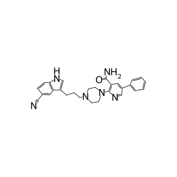 N#Cc1ccc2[nH]cc(CCCN3CCN(c4ncc(-c5ccccc5)cc4C(N)=O)CC3)c2c1